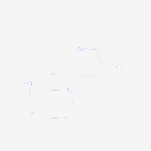 Cc1cc(N2CCC[C@H]3CNC[C@H]32)cnc1Cl